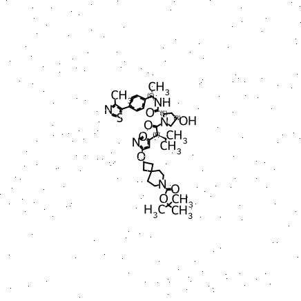 Cc1ncsc1-c1ccc([C@H](C)NC(=O)[C@@H]2C[C@@H](O)CN2C(=O)[C@H](c2cc(OC3CC4(CCN(C(=O)OC(C)(C)C)CC4)C3)no2)C(C)C)cc1